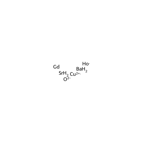 [BaH2].[Cu+2].[Gd].[Ho].[O-2].[SrH2]